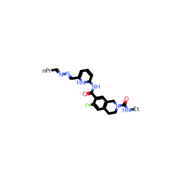 CCC/C=N/N=C/C1=CC=CC(NC(=O)c2cc3c(cc2F)CCN(C(=O)NCC)C3)N1